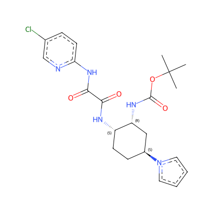 CC(C)(C)OC(=O)N[C@@H]1C[C@@H](n2cccc2)CC[C@@H]1NC(=O)C(=O)Nc1ccc(Cl)cn1